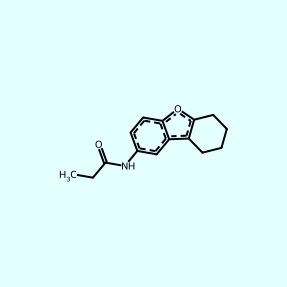 CCC(=O)Nc1ccc2oc3c(c2c1)CCCC3